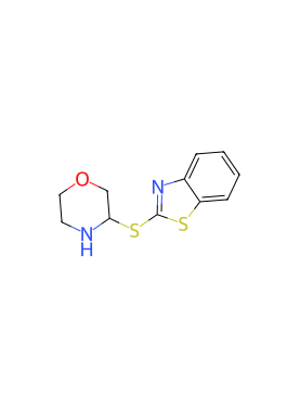 c1ccc2sc(SC3COCCN3)nc2c1